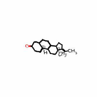 CC=C1CCC2C3CCC4CC(=O)CC[C@@H]4C3CC[C@]12C